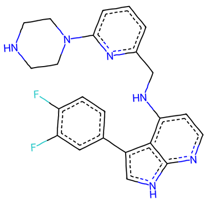 Fc1ccc(-c2c[nH]c3nccc(NCc4cccc(N5CCNCC5)n4)c23)cc1F